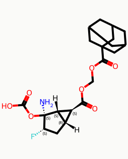 N[C@]1(OC(=O)O)[C@H]2[C@@H](C[C@@H]1F)[C@@H]2C(=O)OCOC(=O)C12CC3CC(CC(C3)C1)C2